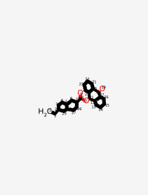 C=Cc1ccc2cc(C(=O)OC3c4ccccc4C(=O)c4ccccc43)ccc2c1